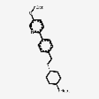 CCCCCCCCOc1ccc(-c2ccc(CC[C@H]3CC[C@H](CCCCCCC)CC3)cc2)nc1